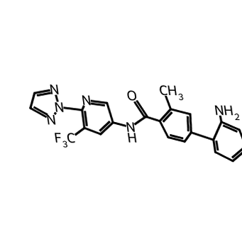 Cc1cc(-c2ccccc2N)ccc1C(=O)Nc1cnc(-n2nccn2)c(C(F)(F)F)c1